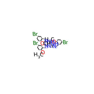 COc1ccc(Br)cc1/C=N\N/C(=N/N=C/c1cc(Br)ccc1OC)N/N=C/c1cc(Br)ccc1OC